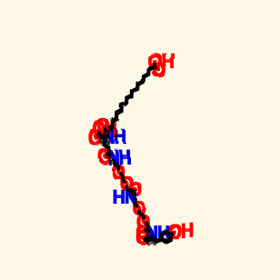 O=C[C@H](Cc1ccc(O)cc1)NC(=O)COCCOCCNC(=O)COCCOCCNC(=O)CC[C@H](NC(=O)CCCCCCCCCCCCCCCCC(=O)O)C(=O)O